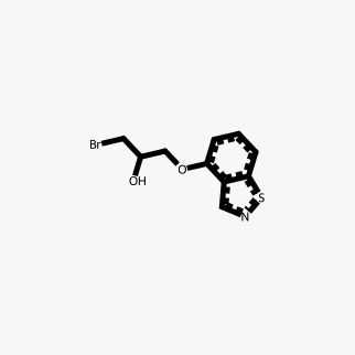 OC(CBr)COc1cccc2sncc12